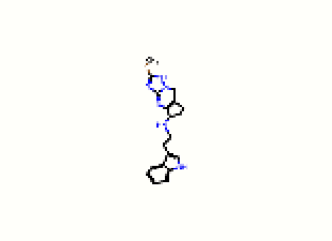 CSC1=NC2=NC3=C(CCC3NCCc3c[nH]c4ccccc34)CN2N1